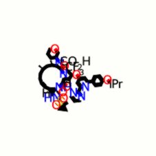 CC(C)Oc1ccc(-c2cc(O[C@@H]3C[C@H]4C(=O)N[C@]5(C(=O)NS(=O)(=O)C6(C)CC6)C[C@H]5/C=C\CC[C@@H](C)C[C@@H](C)[C@H](N(C(=O)O)C5CCCOC5)C(=O)N4C3C(F)(F)F)cc(-c3ncccn3)n2)cc1